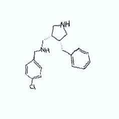 Clc1ccc(CNC[C@@H]2CNC[C@@H]2Cc2ccccc2)cc1